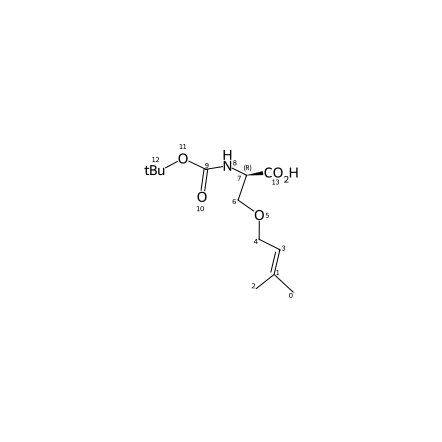 CC(C)=CCOC[C@@H](NC(=O)OC(C)(C)C)C(=O)O